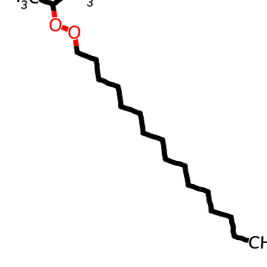 CCCCCCCCCCCCCCCCOOC(C)C